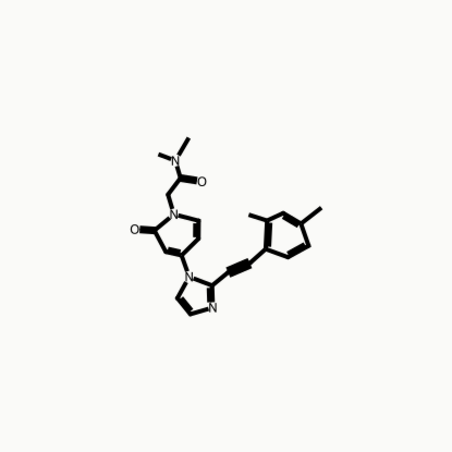 Cc1ccc(C#Cc2nccn2-c2ccn(CC(=O)N(C)C)c(=O)c2)c(C)c1